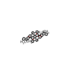 CC1(C)c2ccccc2-c2ccc(-c3ccc4c(-n5c(-c6ccccc6)ccc5-c5ccccc5)c5cc(-c6ccc7c(c6)C(C)(C)c6ccccc6-7)ccc5c(-n5c(-c6ccccc6)ccc5-c5ccccc5)c4c3)cc21